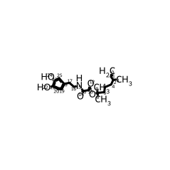 C=CC(C)CCCC(C)(C)OC(=O)C(=O)NCCc1ccc(O)c(O)c1